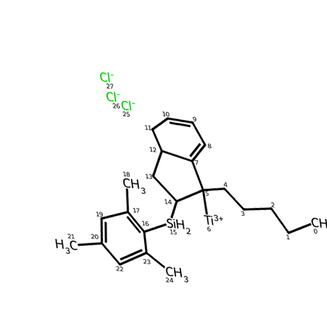 CCCCC[C]1([Ti+3])C2=CC=CCC2CC1[SiH2]c1c(C)cc(C)cc1C.[Cl-].[Cl-].[Cl-]